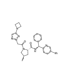 CC(C)c1ccc([C@@H](NC(=O)[C@@H]2C[C@@H](F)CN2C(=O)Cn2ncc(N3CCC3)n2)c2ccccc2)nc1